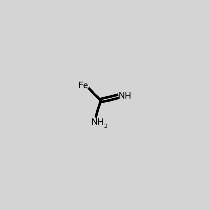 N=[C](N)[Fe]